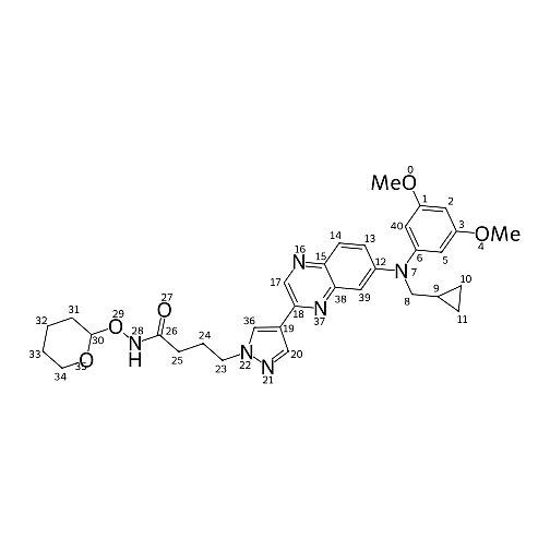 COc1cc(OC)cc(N(CC2CC2)c2ccc3ncc(-c4cnn(CCCC(=O)NOC5CCCCO5)c4)nc3c2)c1